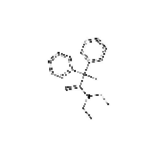 CCN(CC)C(=O)C(C)(c1ccccc1)c1ccccc1